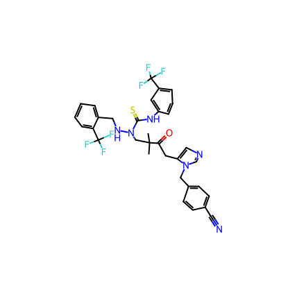 CC(C)(CN(NCc1ccccc1C(F)(F)F)C(=S)Nc1cccc(C(F)(F)F)c1)C(=O)Cc1cncn1Cc1ccc(C#N)cc1